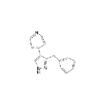 c1ccc(Cc2n[nH]cc2-c2ccncc2)cc1